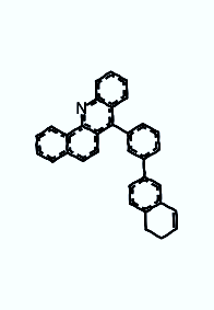 C1=Cc2cc(-c3cccc(-c4c5ccccc5nc5c4ccc4ccccc45)c3)ccc2CC1